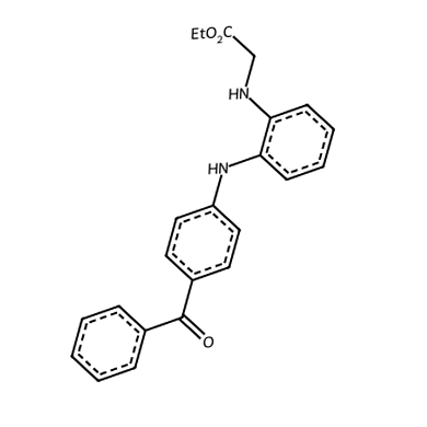 CCOC(=O)CNc1ccccc1Nc1ccc(C(=O)c2ccccc2)cc1